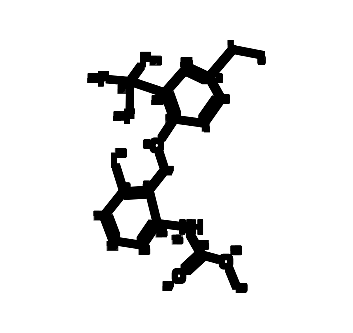 CCc1ccc(OCc2c(I)cccc2NC(=O)OC)c(C(F)(F)F)c1